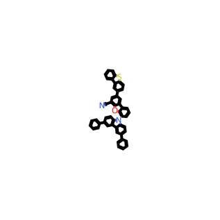 N#Cc1cc(-c2ccc3sc4ccccc4c3c2)cc2c1oc1c(-n3c4ccc(-c5ccccc5)cc4c4cc(-c5ccccc5)ccc43)cccc12